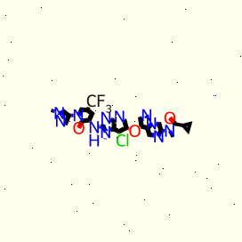 CN(C(=O)C1CC1)c1cn2ncc(Oc3cnc4nc(Nc5cc(C(F)(F)F)cn(-c6cnn(C)c6)c5=O)n(C)c4c3Cl)c2cn1